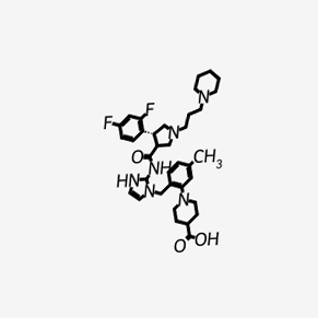 Cc1ccc(CN2C=CNC2NC(=O)C2CN(CCCN3CCCCC3)C[C@H]2c2ccc(F)cc2F)c(N2CCC(C(=O)O)CC2)c1